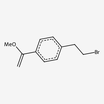 C=C(OC)c1ccc(CCBr)cc1